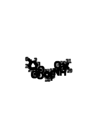 Cc1ccc(S(=O)(=O)OC2CC(F)(CNC(=O)OC(C)(C)C)C2)cc1